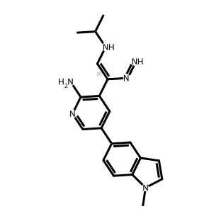 CC(C)N/C=C(\N=N)c1cc(-c2ccc3c(ccn3C)c2)cnc1N